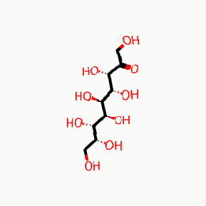 O=C(CO)[C@@H](O)[C@H](O)[C@H](O)[C@@H](O)[C@@H](O)[C@H](O)CO